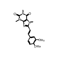 COc1ccc(C=Cc2nc3c(c(=O)n(C)c(=O)n3C)n2C)cc1OC